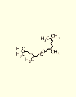 CC(C)=CCCC(C)=CCOOCC=C(C)CCC=C(C)C